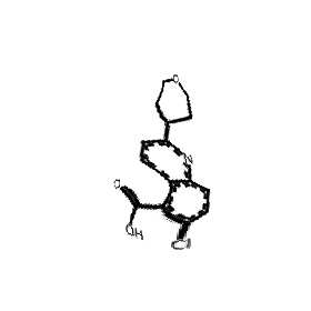 O=C(O)c1c(Cl)ccc2nc(C3CCOCC3)ccc12